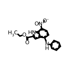 CCOC(=O)c1cc2c(Nc3ccccc3)ccc([N+](=O)[O-])c2[nH]1